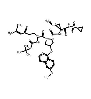 C=C[C@@H]1C[C@]1(NC(=O)[C@@H]1CC(Oc2nccc3cc(OC)ccc23)CN1C(=O)[C@H](CCC(=O)C=C(C)C)NC(=O)OC(C)(C)C)C(=O)NS(=O)(=O)C1CC1